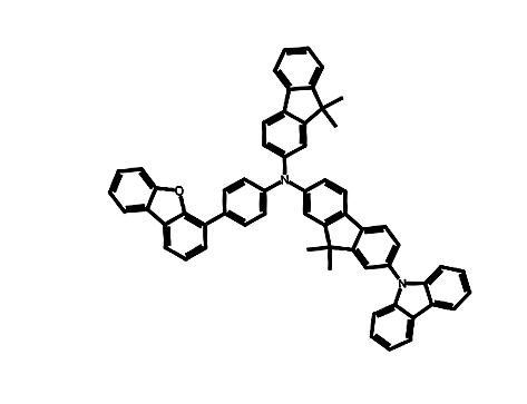 CC1(C)c2ccccc2-c2ccc(N(c3ccc(-c4cccc5c4oc4ccccc45)cc3)c3ccc4c(c3)C(C)(C)c3cc(-n5c6ccccc6c6ccccc65)ccc3-4)cc21